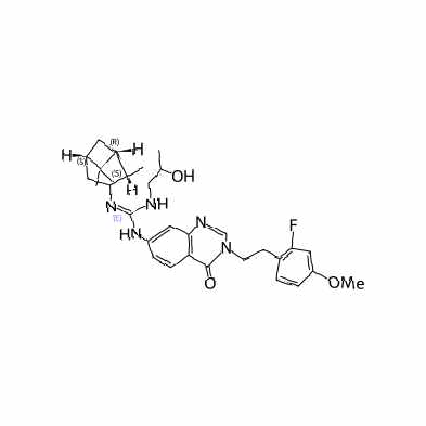 COc1ccc(CCn2cnc3cc(N/C(=N/C4C[C@@H]5C[C@H]([C@@H]4C)C5(C)C)NCC(C)O)ccc3c2=O)c(F)c1